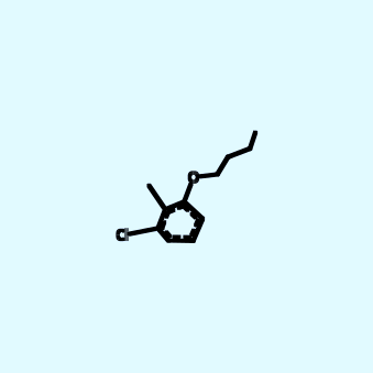 CCCCOc1cccc(Cl)c1C